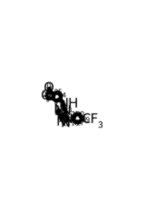 O=C1OCc2cc(Nc3ncc4nnn(-c5ccc(C(F)(F)F)cc5)c4n3)ccc21